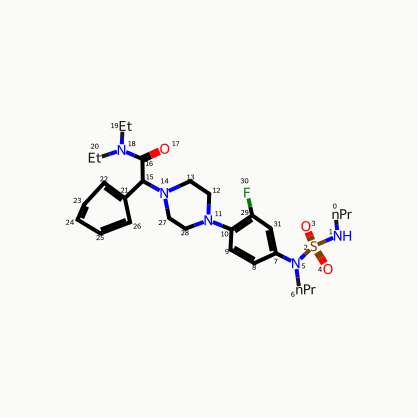 CCCNS(=O)(=O)N(CCC)c1ccc(N2CCN(C(C(=O)N(CC)CC)c3ccccc3)CC2)c(F)c1